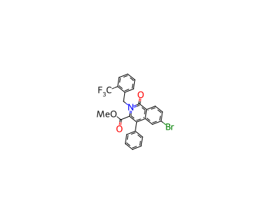 COC(=O)c1c(-c2ccccc2)c2cc(Br)ccc2c(=O)n1Cc1ccccc1C(F)(F)F